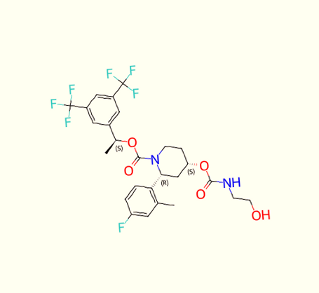 Cc1cc(F)ccc1[C@H]1C[C@@H](OC(=O)NCCO)CCN1C(=O)O[C@@H](C)c1cc(C(F)(F)F)cc(C(F)(F)F)c1